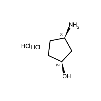 Cl.Cl.N[C@@H]1CC[C@H](O)C1